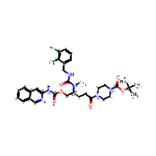 CN(C(=O)NCc1cccc(F)c1Cl)[C@@H](CCC(=O)N1CCN(C(=O)OC(C)(C)C)CC1)COC(=O)Nc1cc2ccccc2cn1